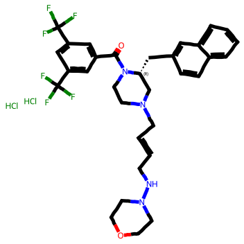 Cl.Cl.O=C(c1cc(C(F)(F)F)cc(C(F)(F)F)c1)N1CCN(CC=CCNN2CCOCC2)C[C@H]1Cc1ccc2ccccc2c1